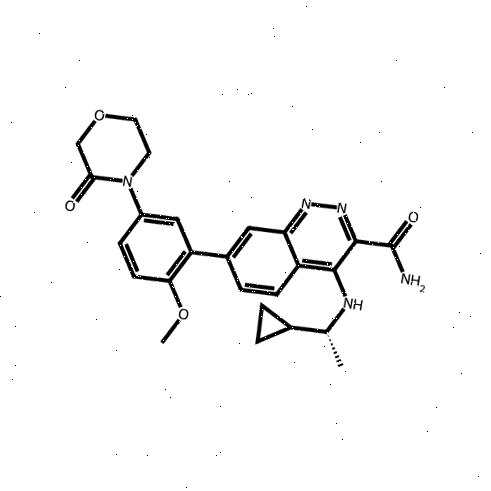 COc1ccc(N2CCOCC2=O)cc1-c1ccc2c(N[C@H](C)C3CC3)c(C(N)=O)nnc2c1